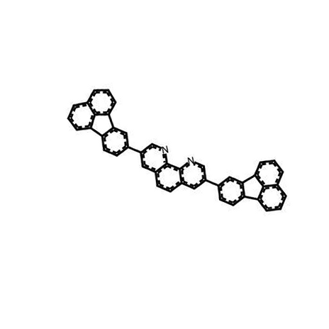 c1cc2c3c(cccc3c1)-c1cc(-c3cnc4c(ccc5cc(-c6ccc7c(c6)-c6cccc8cccc-7c68)cnc54)c3)ccc1-2